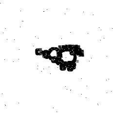 C[C@@H]1[C@@H](C)CCC[C@](O)(Cc2ccncn2)[C@@H]2CC[C@H]2CN2CCCCc3cc(Cl)ccc3COc3ccc(cc32)C(=O)NS1(=O)=O